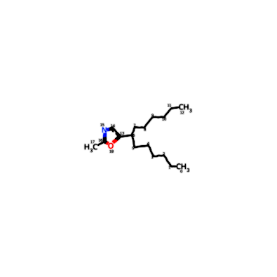 CCCCCCC(CCCCCC)c1cnc(C)o1